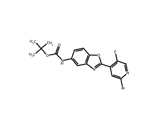 CC(C)(C)OC(=O)Nc1ccc2oc(-c3cc(Br)ncc3F)nc2c1